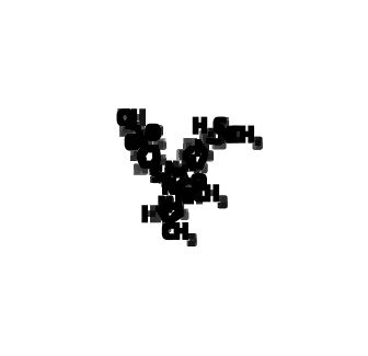 COc1c(Nc2cc(C)[nH]n2)nc(Sc2ccc(S(=O)(=O)CCO)cc2)nc1N1CCN(CCN(C)C)CC1